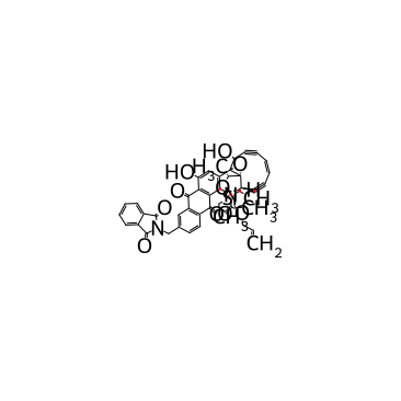 C=CCOC(=O)N1c2c(cc(O)c3c2C(=O)c2ccc(CN4C(=O)c5ccccc5C4=O)cc2C3=O)[C@@]23O[C@@]2([C@@H](C)O[Si](CC)(CC)CC)[C@@H]1C#C/C=C\C#C[C@@H]3O